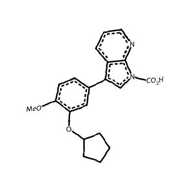 COc1ccc(-c2cn(C(=O)O)c3ncccc23)cc1OC1CCCC1